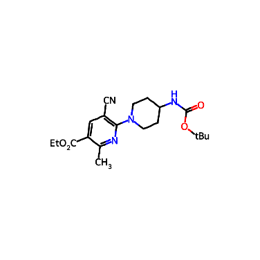 CCOC(=O)c1cc(C#N)c(N2CCC(NC(=O)OC(C)(C)C)CC2)nc1C